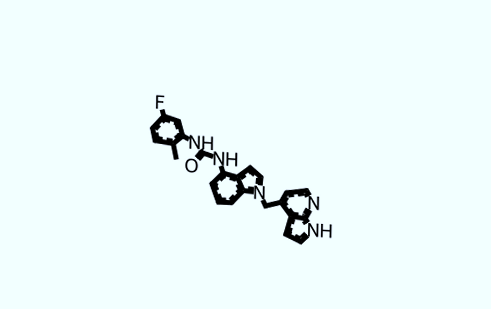 Cc1ccc(F)cc1NC(=O)Nc1cccc2c1ccn2Cc1ccnc2[nH]ccc12